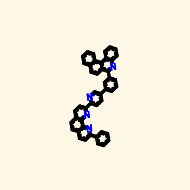 c1ccc(-c2ccc3ccc4ccc(-c5ccc(-c6cccc(-c7nc8ccccc8c8c7ccc7ccccc78)c6)cn5)nc4c3n2)cc1